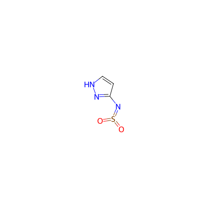 O=S(=O)=Nc1cc[nH]n1